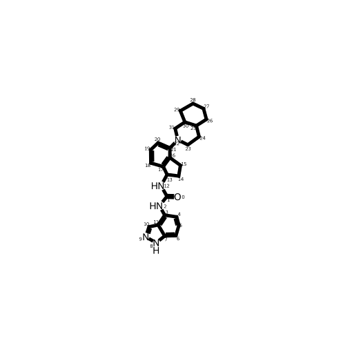 O=C(Nc1cccc2[nH]ncc12)NC1CCc2c1cccc2N1CCC2CCCCC2C1